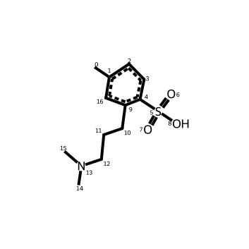 Cc1ccc(S(=O)(=O)O)c(CCCN(C)C)c1